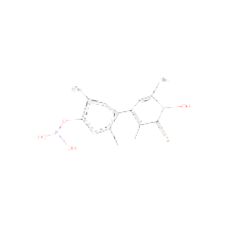 CC1=C(c2cc(C(C)(C)C)c(OP(O)O)cc2C)C=C(C(C)(C)C)C(O)C1=S